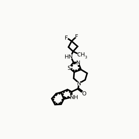 CC1(Nc2nc3c(s2)CN(C(=O)c2cc4ccccc4[nH]2)CC3)CC(F)(F)C1